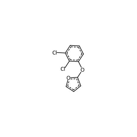 Clc1cccc(Oc2ccco2)c1Cl